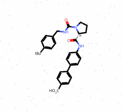 CC(C)(C)c1ccc(CNC(=O)N2CCC[C@@H]2C(=O)Nc2ccc(-c3ccc(C(=O)O)cc3)cc2)cc1